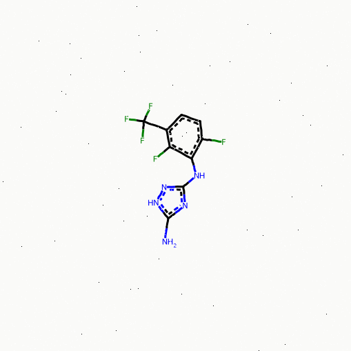 Nc1nc(Nc2c(F)ccc(C(F)(F)F)c2F)n[nH]1